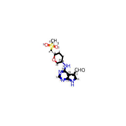 CS(=O)(=O)C[C@@H]1CC[C@@H](Nc2ncnc3[nH]cc(C=O)c23)CO1